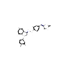 Cc1ccc(N2C(=O)/C(=N\Nc3ccc(/C=C4/SC(=O)NC4=O)cc3O)c3cc(F)cc(F)c32)cc1C